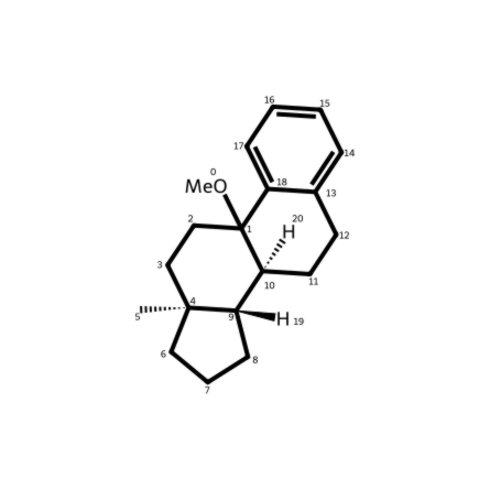 COC12CC[C@]3(C)CCC[C@H]3[C@@H]1CCc1ccccc12